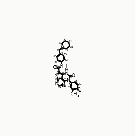 Cc1cc(N2C(=O)Nc3c(C(=O)Nc4ccc(CN5CCCCC5)cc4)sc4ncnc2c34)ccc1F